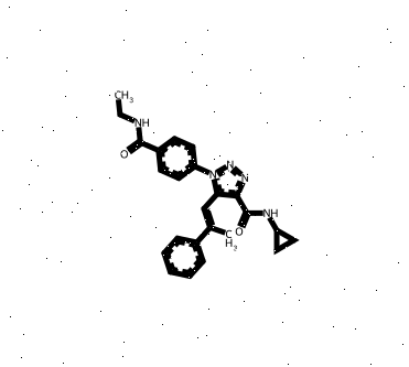 CCNC(=O)c1ccc(-n2nnc(C(=O)NC3CC3)c2C=C(C)c2ccccc2)cc1